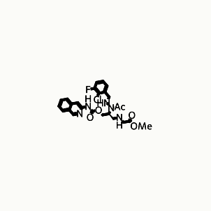 COC(=O)CNC[C@@H](COC(=O)Nc1cc2ccccc2cn1)N(NCc1cccc(F)c1Cl)C(C)=O